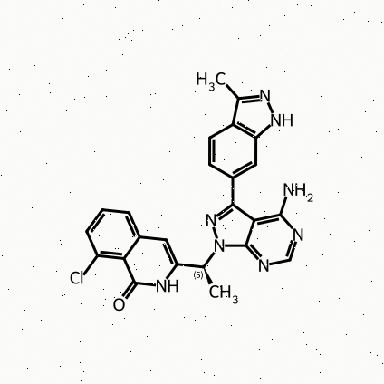 Cc1n[nH]c2cc(-c3nn([C@@H](C)c4cc5cccc(Cl)c5c(=O)[nH]4)c4ncnc(N)c34)ccc12